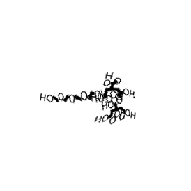 O=C(O)CC(O)(CC(=O)O)C(=O)O.O=C(O)CC(O)(CC(=O)O)C(=O)O.OCCOCCOCCOCCO